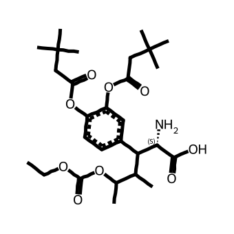 CCOC(=O)OC(C)C(C)C(c1ccc(OC(=O)CC(C)(C)C)c(OC(=O)CC(C)(C)C)c1)[C@H](N)C(=O)O